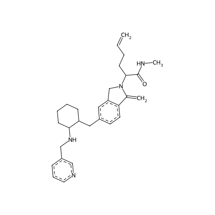 C=CCCC(C(=O)NC)N1Cc2cc(CC3CCCCC3NCc3cccnc3)ccc2C1=C